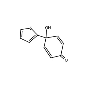 O=C1C=CC(O)(c2cccs2)C=C1